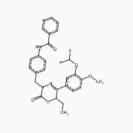 CCC1OC(=O)N(Cc2ccc(NC(=O)c3cccnc3)cc2)N=C1c1ccc(OC)c(OC(F)F)c1